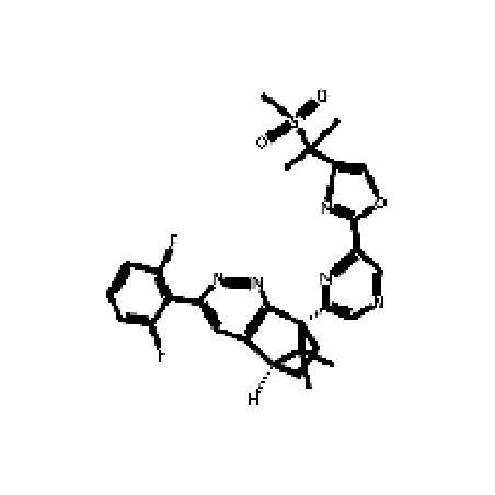 CC1(C)[C@H]2CC[C@]1(c1cncc(-c3nc(C(C)(C)S(C)(=O)=O)co3)n1)c1nnc(-c3c(F)cccc3F)cc12